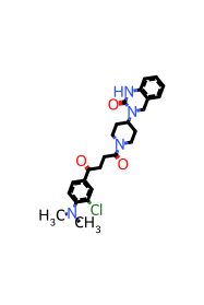 CN(C)c1ccc(C(=O)CCC(=O)N2CCC(N3Cc4ccccc4NC3=O)CC2)cc1Cl